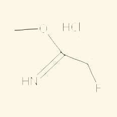 COC(=N)CF.Cl